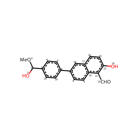 COC(O)c1ccc(-c2ccc3c(C=O)c(O)ccc3c2)cc1